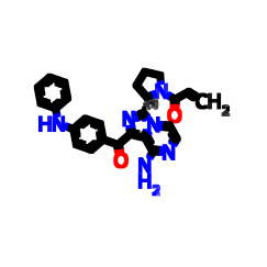 C=CC(=O)N1CCC[C@H]1c1nc(C(=O)c2ccc(Nc3ccccc3)cc2)c2c(N)nccn12